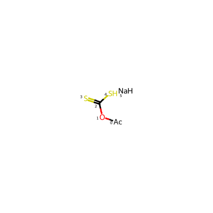 CC(=O)OC(=S)S.[NaH]